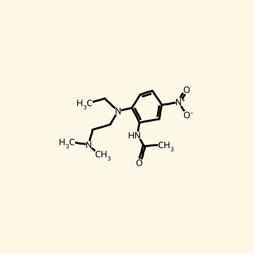 CCN(CCN(C)C)c1ccc([N+](=O)[O-])cc1NC(C)=O